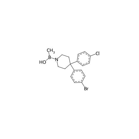 CB(O)N1CCC(c2ccc(Cl)cc2)(c2ccc(Br)cc2)CC1